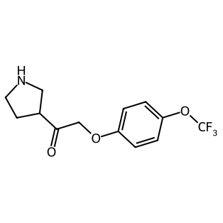 O=C(COc1ccc(OC(F)(F)F)cc1)C1CCNC1